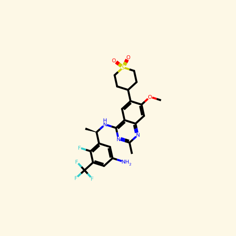 COc1cc2nc(C)nc(N[C@H](C)c3cc(N)cc(C(F)(F)F)c3F)c2cc1C1CCS(=O)(=O)CC1